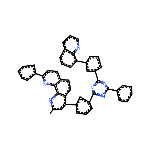 Cc1cc(-c2cccc(-c3nc(-c4ccccc4)nc(-c4cccc(-c5cccc6cccnc56)c4)n3)c2)c2ccc3ccc(-c4ccccc4)nc3c2n1